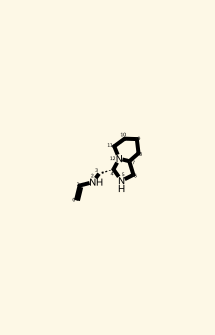 C=CNC[C@H]1NCC2CCCCN21